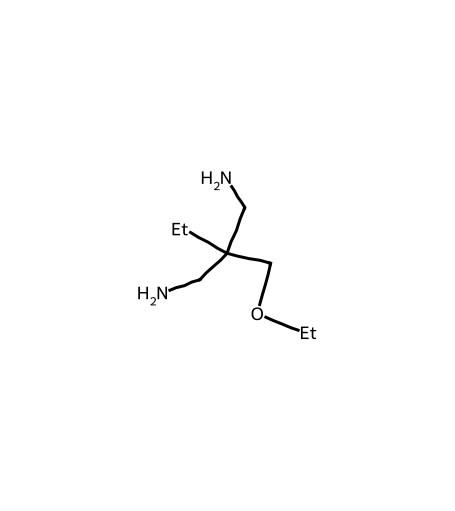 CCOCC(CC)(CN)CN